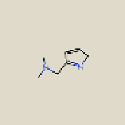 CN(C)CC1=NCC=C1